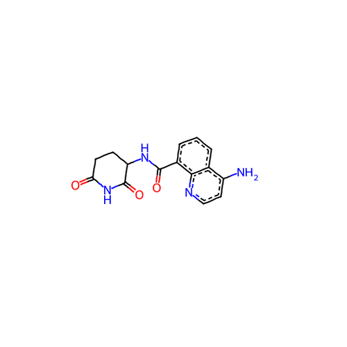 Nc1ccnc2c(C(=O)NC3CCC(=O)NC3=O)cccc12